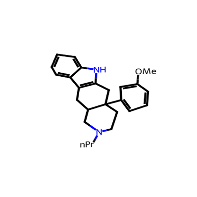 CCCN1CCC2(c3cccc(OC)c3)Cc3[nH]c4ccccc4c3CC2C1